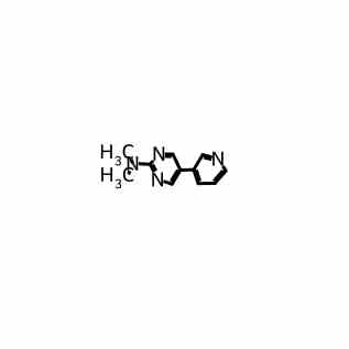 CN(C)c1ncc(-c2cccnc2)cn1